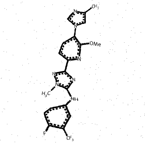 COc1nc(-c2nc(Nc3ccc(F)c(C(F)(F)F)c3)n(C)n2)ccc1-n1cnc(C)c1